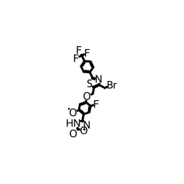 COc1cc(OCc2sc(-c3ccc(C(F)(F)F)cc3)nc2CBr)c(F)cc1-c1noc(=O)[nH]1